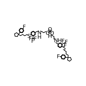 O=[PH](OCCCNCc1ccc(SCCCCC2(c3ccc(F)cc3)CCCC2)c(C(F)(F)F)c1)OCCCNCc1ccc(SCCCCC2(c3ccc(F)cc3)CCCC2)c(C(F)(F)F)c1